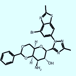 Cc1nc([C@@H]2O[C@@H]3COC(c4ccccc4)O[C@@H]3[C@H](N)[C@H]2O)n(-c2cc(Br)c3nc(C)sc3c2)n1